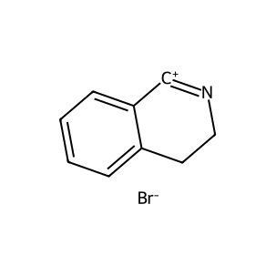 [Br-].[C+]1=NCCc2ccccc21